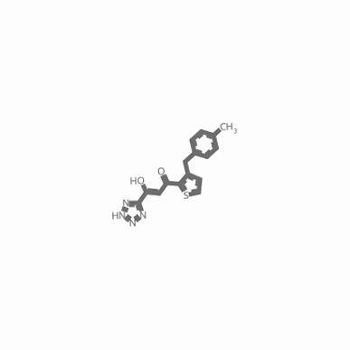 Cc1ccc(Cc2ccsc2C(=O)C=C(O)c2nn[nH]n2)cc1